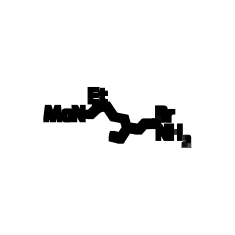 C=C/C(=C/C=C(\N)Br)CCCC(CC)CNC